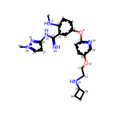 CNc1ccc(Oc2ccc(OCCNC3CCC3)cn2)cc1C(=N)Nc1ccn(C)n1